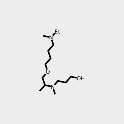 CCN(C)CCCCOCC(C)N(C)CCCO